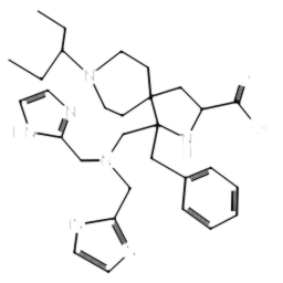 CCC(CC)N1CCC2(CC1)CC(C(=O)O)NC2(Cc1ccccc1)CN(Cc1ncc[nH]1)Cc1ncc[nH]1